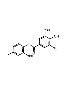 Cc1ccc(OC(=O)c2cc(C(C)(C)C)c(O)c(C(C)(C)C)c2)c(C(C)(C)C)c1